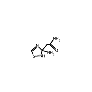 NC(=O)CC1(N)N=CSN1